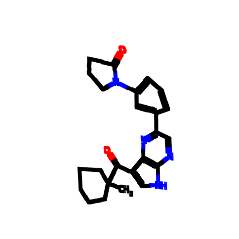 CC1(C(=O)c2c[nH]c3ncc(-c4cccc(N5CCCC5=O)c4)nc23)CCCCC1